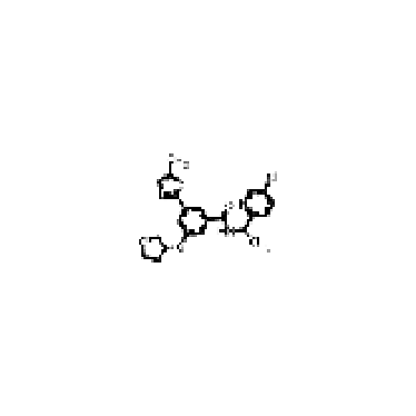 Cc1cnc(-c2cc(O[C@@H]3CCOC3)cc(C(=O)N[C@H](C)c3ccc(Cl)cn3)c2)s1